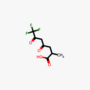 CC(CC(=O)CC(=O)C(F)(F)F)C(=O)O